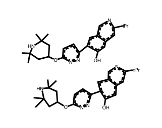 CC(C)c1cc2cc(O)c(-c3ccc(OC4CC(C)(C)NC(C)(C)C4)nn3)cc2cn1.CCCc1cc2cc(O)c(-c3ccc(OC4CC(C)(C)NC(C)(C)C4)nn3)cc2cn1